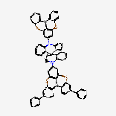 c1ccc(-c2ccc3c(c2)Sc2cc(N4c5ccccc5[Si]5(c6ccccc6N(c6cc7c8c(c6)Sc6ccccc6B8c6ccccc6S7)c6ccccc65)c5ccccc54)cc4c2B3c2ccc(-c3ccccc3)cc2S4)cc1